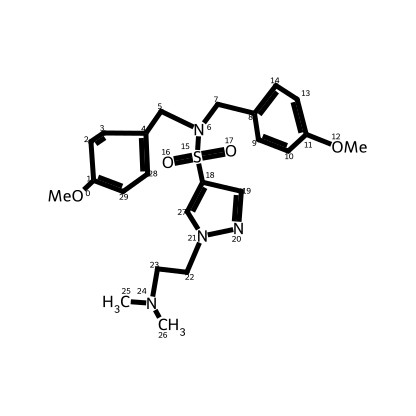 COc1ccc(CN(Cc2ccc(OC)cc2)S(=O)(=O)c2cnn(CCN(C)C)c2)cc1